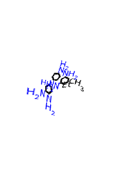 CCC.Nc1ccc(N)cc1.Nc1cccc(N)c1.Nc1ccccc1N